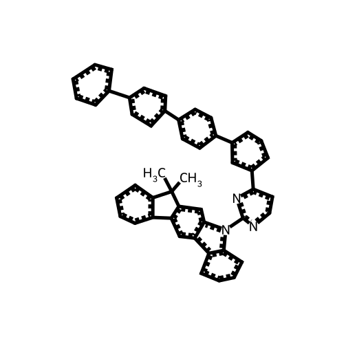 CC1(C)c2ccccc2-c2cc3c4ccccc4n(-c4nccc(-c5cccc(-c6ccc(-c7ccc(-c8ccccc8)cc7)cc6)c5)n4)c3cc21